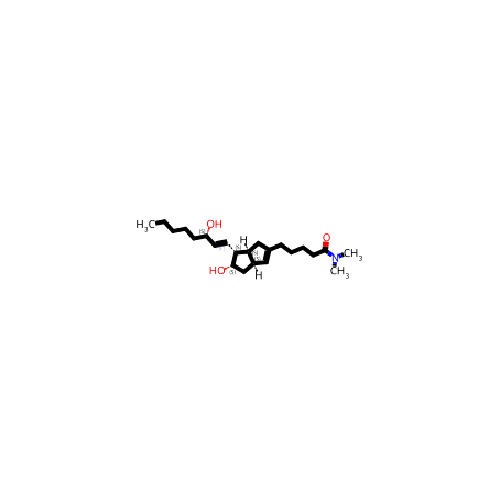 CCCCC[C@H](O)/C=C/[C@@H]1[C@H]2CC(CCCCC(=O)N(C)C)=C[C@H]2C[C@@H]1O